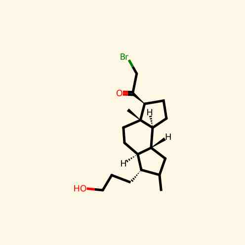 CC1C[C@@H]2[C@H](CC[C@]3(C)[C@@H](C(=O)CBr)CC[C@@H]23)[C@H]1CCCO